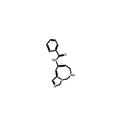 O=C(NC1=C/CNCN2CN=C\C2=C\1)c1ccccc1